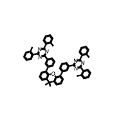 Cc1ccccc1-c1nc(-c2cccc(-c3cccc4c3Oc3c(-c5cccc(-c6nc(-c7ccccc7C)nc(-c7ccccc7C)n6)c5)cccc3C4(C)C)c2)nc(-c2ccccc2C)n1